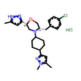 Cc1cc([C@H]2CN(C3CCC(c4cc(C)n(C)n4)CC3)[C@@H](Cc3ccc(Cl)cc3)CO2)n[nH]1.Cl